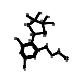 CCOCOc1cc(F)cc(C)c1B1OC(C)(C)C(C)(C)O1